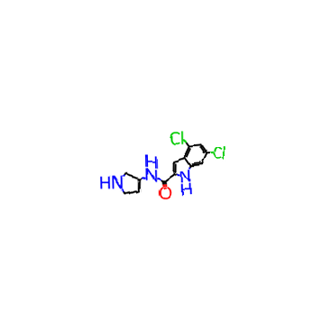 O=C(N[C@H]1CCNC1)c1cc2c(Cl)cc(Cl)cc2[nH]1